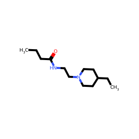 CCCC(=O)NCCN1CCC(CC)CC1